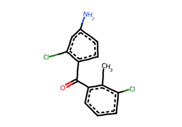 Cc1c(Cl)cccc1C(=O)c1ccc(N)cc1Cl